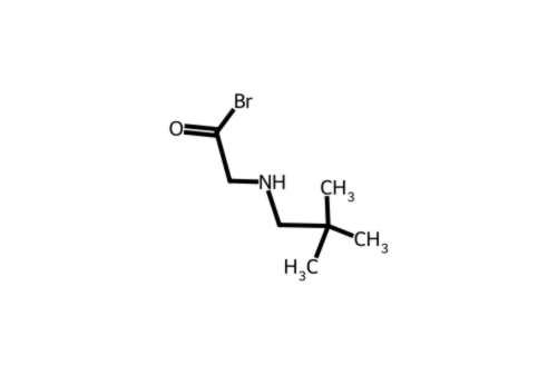 CC(C)(C)CNCC(=O)Br